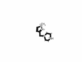 Cn1ccc(CN2CCNCC2)n1